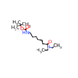 CCN(CC)C(=O)CCCCCCNC(=O)OC(C)(C)C